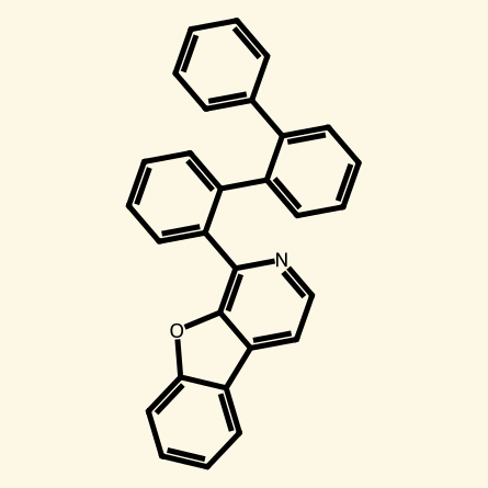 c1ccc(-c2ccccc2-c2ccccc2-c2nccc3c2oc2ccccc23)cc1